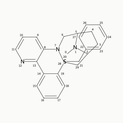 CN1C2CCC1CN(c1cccnc1-c1ccccc1SCc1ccccc1)CC2